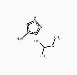 COC(C)O.Nc1cn[nH]c1